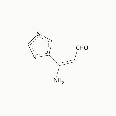 N/C(=C/C=O)c1cscn1